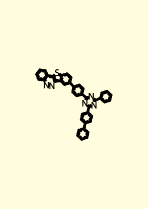 c1ccc(-c2ccc(-c3nc(-c4ccccc4)nc(-c4ccc(-c5ccc6sc7c8ccccc8nnc7c6c5)cc4)n3)cc2)cc1